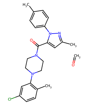 C=O.Cc1ccc(-n2nc(C)cc2C(=O)N2CCN(c3cc(Cl)ccc3C)CC2)cc1